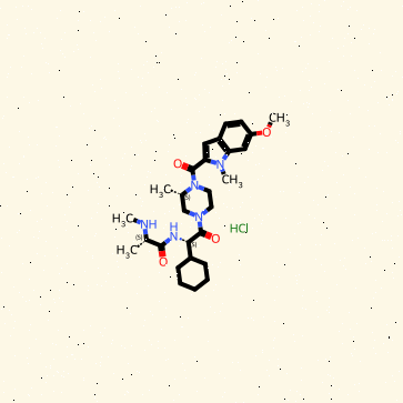 CN[C@@H](C)C(=O)N[C@H](C(=O)N1CCN(C(=O)c2cc3ccc(OC)cc3n2C)[C@@H](C)C1)C1CCCCC1.Cl